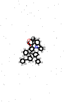 c1ccc(-c2cccc([Si](c3ccccc3)(c3cccc(-c4ccccc4)c3)c3ccc4c(c3)-n3c5ccccc5c5cccc(c53)C43c4ccccc4Oc4ccccc43)c2)cc1